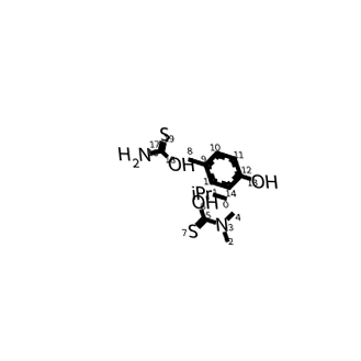 CC(C)C.CN(C)C(O)=S.Cc1ccc(O)cc1.NC(O)=S